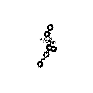 Cc1ccc(-c2ccccc2)cc1NC(=O)Nc1ccc(N2CCN(CCc3ccncc3)CC2)c2ccccc12